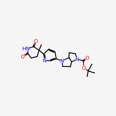 CC(C)(C)OC(=O)N1CCC2C1CCN2c1ccc(C2(C)CCC(=O)NC2=O)nc1